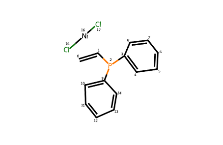 C=CP(c1ccccc1)c1ccccc1.[Cl][Ni][Cl]